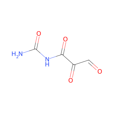 NC(=O)NC(=O)C(=O)C=O